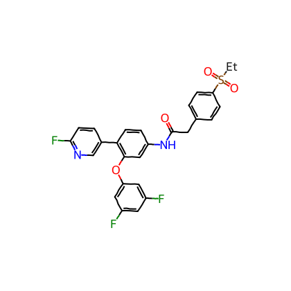 CCS(=O)(=O)c1ccc(CC(=O)Nc2ccc(-c3ccc(F)nc3)c(Oc3cc(F)cc(F)c3)c2)cc1